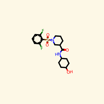 O=C(NC1CCC(O)CC1)C1CCCN(S(=O)(=O)c2c(F)cccc2F)C1